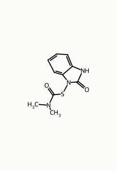 CN(C)C(=O)Sn1c(=O)[nH]c2ccccc21